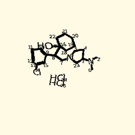 CN(C)C1CCN(CC(c2cccc(Cl)c2)C2(O)CCCCC2)C1.Cl.Cl